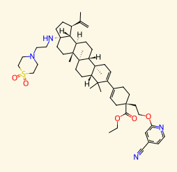 C=C(C)[C@@H]1CC[C@]2(NCCN3CCS(=O)(=O)CC3)CC[C@]3(C)[C@H](CC[C@@H]4[C@@]5(C)CC=C(C6=CC[C@@](CCOc7cc(C#N)ccn7)(C(=O)OCC)CC6)C(C)(C)[C@@H]5CC[C@]43C)[C@@H]12